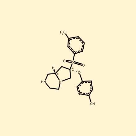 N#Cc1ccc(O[C@@]2(S(=O)(=O)c3cccc(C(F)(F)F)c3)C[C@H]3CNCCN3C2)cn1